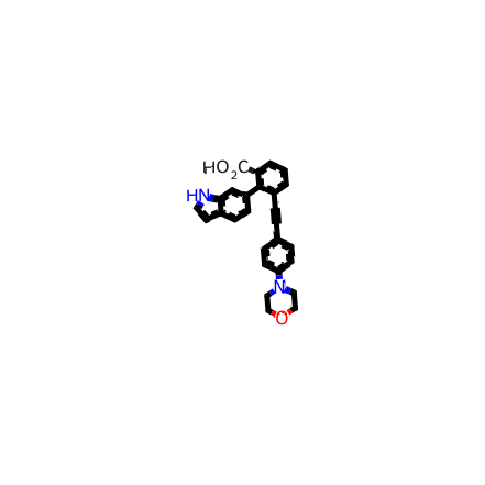 O=C(O)c1cccc(C#Cc2ccc(N3CCOCC3)cc2)c1-c1ccc2cc[nH]c2c1